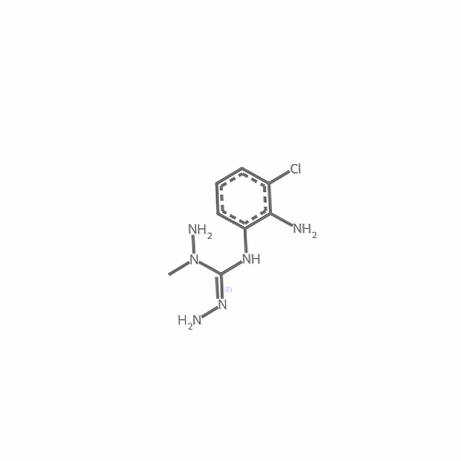 CN(N)/C(=N\N)Nc1cccc(Cl)c1N